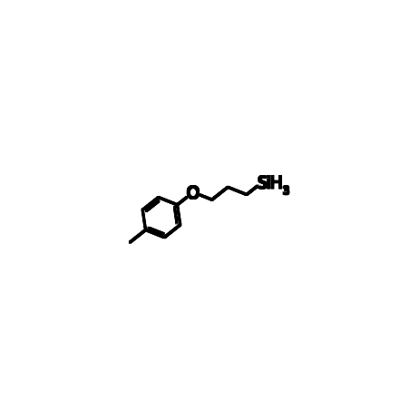 Cc1ccc(OCCC[SiH3])cc1